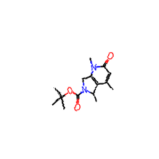 Cc1cc(=O)n(C)c2c1C(C)N(C(=O)OC(C)(C)C)C2